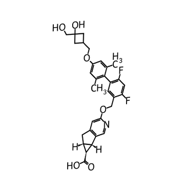 Cc1cc(OCC2CC(O)(CO)C2)cc(C)c1-c1cc(COc2cc3c(cn2)[C@H]2[C@@H](C3)[C@@H]2C(=O)O)c(F)cc1F